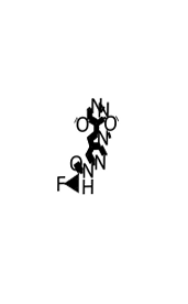 COc1cnnc(OC)c1-c1cc2cc(NC(=O)[C@@H]3C[C@@H]3F)ncc2n1C